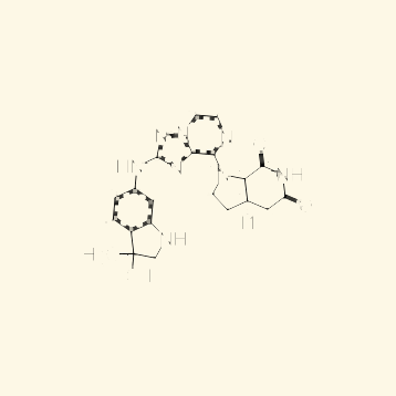 CC1(C)CNc2cc(Nc3nc4c(N5CC[C@@H]6CC(=O)NC(=O)C65)nccn4n3)ccc21